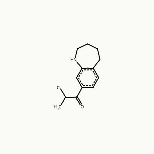 CC(Cl)C(=O)c1ccc2c(c1)NCCCC2